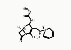 CC(C)(C)OC(=O)NC1S[C@@H]2CC(=O)N2C(C(=O)O)=C1CN[N+]1(C)C=CC=CC1